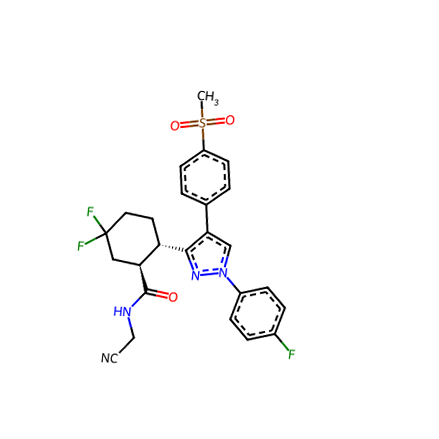 CS(=O)(=O)c1ccc(-c2cn(-c3ccc(F)cc3)nc2[C@H]2CCC(F)(F)C[C@@H]2C(=O)NCC#N)cc1